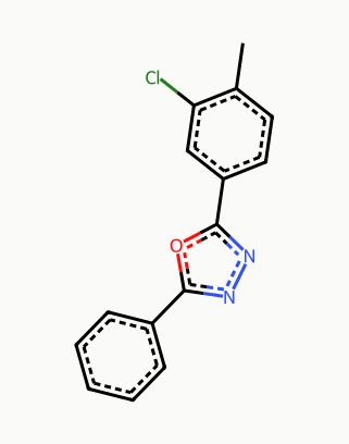 Cc1ccc(-c2nnc(-c3ccccc3)o2)cc1Cl